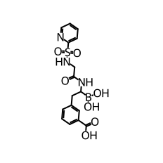 O=C(CNS(=O)(=O)c1ccccn1)NC(Cc1cccc(C(=O)O)c1)B(O)O